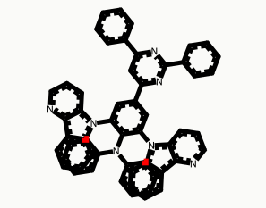 c1ccc(-c2cc(-c3cc(-n4c5ccccc5c5ncccc54)c(N(c4ccccc4)c4ccccc4)c(-n4c5ccccc5c5ncccc54)c3)nc(-c3ccccc3)n2)cc1